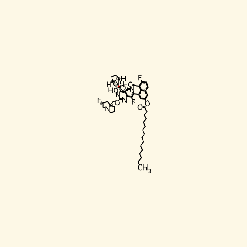 C#Cc1c(F)ccc2cc(OC(=O)CCCCCCCCCCCCCCC)cc(-c3ncc4c(N5C[C@H]6CC[C@@H](C5)N6C(=O)O)nc(OC[C@@]56CCCN5C[C@H](F)C6)nc4c3F)c12